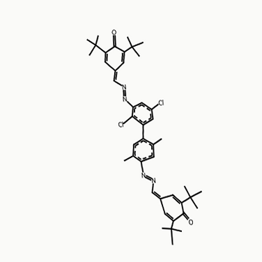 Cc1cc(-c2cc(Cl)cc(/N=N/C=C3C=C(C(C)(C)C)C(=O)C(C(C)(C)C)=C3)c2Cl)c(C)cc1/N=N/C=C1C=C(C(C)(C)C)C(=O)C(C(C)(C)C)=C1